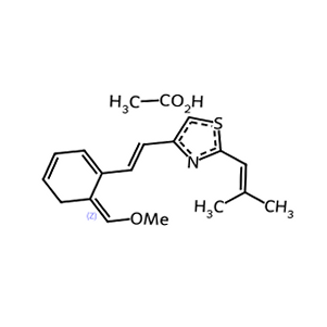 CC(=O)O.CO/C=C1/CC=CC=C1C=Cc1csc(C=C(C)C)n1